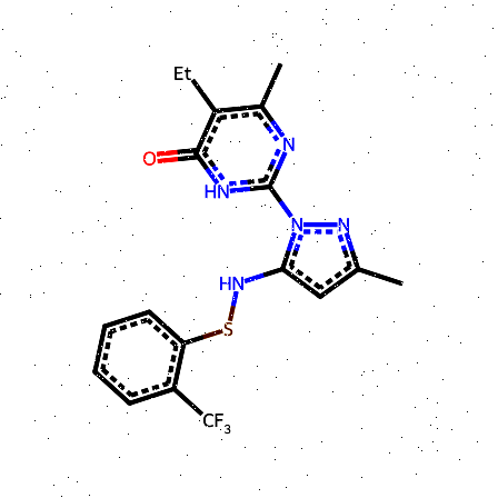 CCc1c(C)nc(-n2nc(C)cc2NSc2ccccc2C(F)(F)F)[nH]c1=O